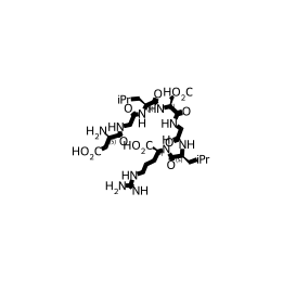 CC(C)C[C@H](NC(=O)CNC(=O)[C@H](CC(=O)O)NC(=O)[C@H](CC(C)C)NC(=O)CNC(=O)[C@@H](N)CC(=O)O)C(=O)N[C@@H](CCCNC(=N)N)C(=O)O